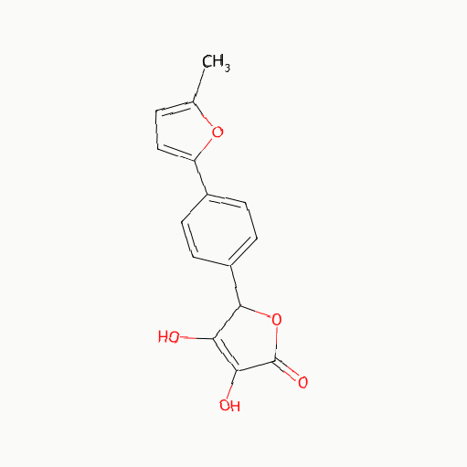 Cc1ccc(-c2ccc(C3OC(=O)C(O)=C3O)cc2)o1